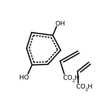 C=CC(=O)O.C=CC(=O)O.Oc1ccc(O)cc1